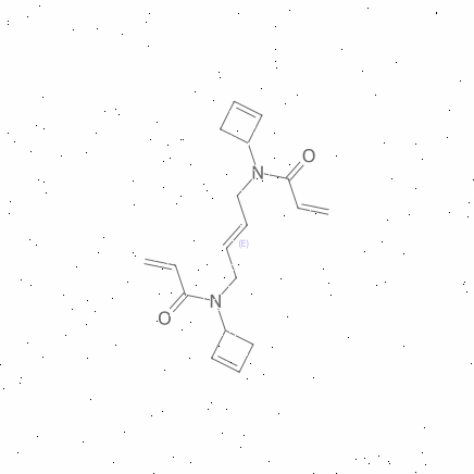 C=CC(=O)N(C/C=C/CN(C(=O)C=C)C1C=CC1)C1C=CC1